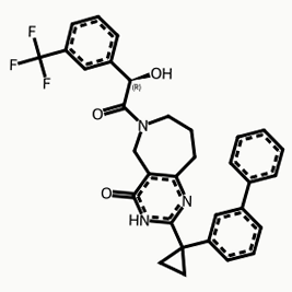 O=C([C@H](O)c1cccc(C(F)(F)F)c1)N1CCCc2nc(C3(c4cccc(-c5ccccc5)c4)CC3)[nH]c(=O)c2C1